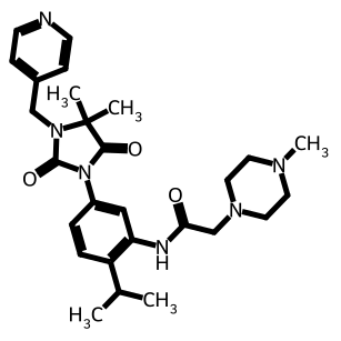 CC(C)c1ccc(N2C(=O)N(Cc3ccncc3)C(C)(C)C2=O)cc1NC(=O)CN1CCN(C)CC1